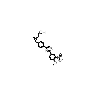 COc1ccc(-c2nc(-c3ccc(CN(C)CCO)cc3)cs2)cc1[N+](=O)[O-]